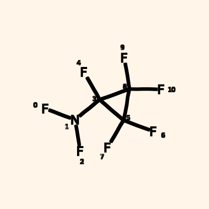 FN(F)C1(F)C(F)(F)C1(F)F